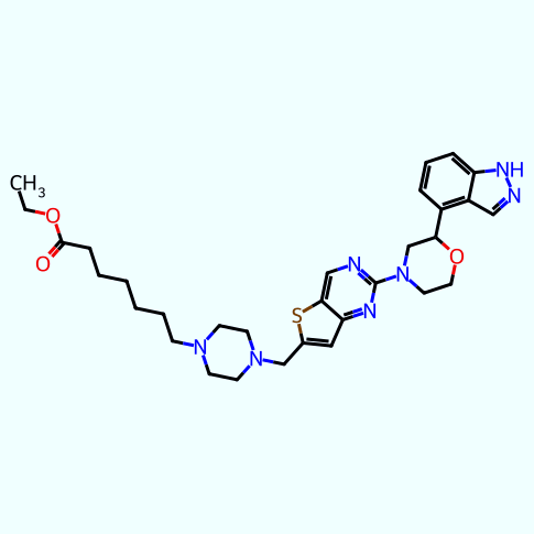 CCOC(=O)CCCCCCN1CCN(Cc2cc3nc(N4CCOC(c5cccc6[nH]ncc56)C4)ncc3s2)CC1